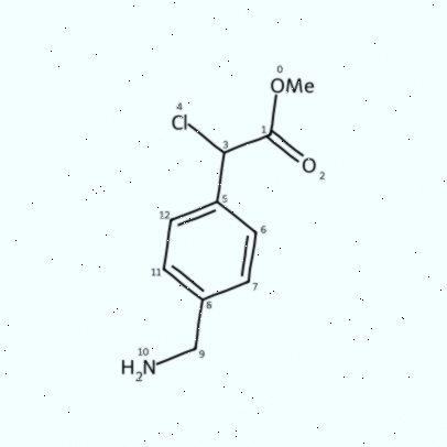 COC(=O)C(Cl)c1ccc(CN)cc1